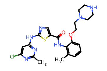 Cc1nc(Cl)cc(Nc2ncc(C(=O)Nc3c(C)cccc3OCCN3CCNCC3)s2)n1